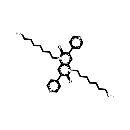 CCCCCCCCn1c(=O)c(-c2ccncc2)cc2c1cc(-c1ccncc1)c(=O)n2CCCCCCCC